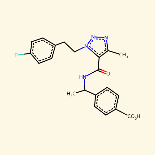 Cc1nnn(CCc2ccc(F)cc2)c1C(=O)NC(C)c1ccc(C(=O)O)cc1